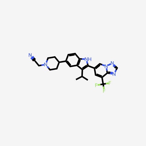 CC(C)c1c(-c2cc(C(F)(F)F)c3ncnn3c2)[nH]c2ccc(C3CCN(CC#N)CC3)cc12